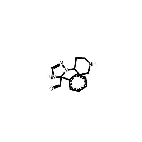 O=CC1(c2ccccc2)NC=NN1C1CCNCC1